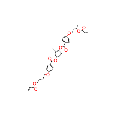 C=CC(=O)OCCCCOc1ccc(C(=O)Oc2ccc(OC(=O)c3ccc(OCCC(C)OC(=O)C=C)cc3)c(C)c2)cc1